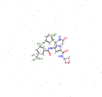 O=C1Cn2c(C(=O)NC3COC3)cc(NC(=O)c3cc(F)cc(C(F)(F)F)c3)c2C(c2cc(F)ccc2Cl)N1